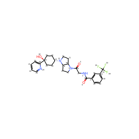 O=C(NCC(=O)N1CCC2C1CCN2[C@H]1CC[C@@](O)(c2ccccn2)CC1)c1cccc(C(F)(F)F)c1